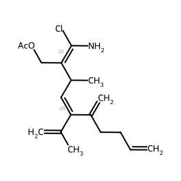 C=CCCC(=C)/C(=C\C(C)/C(COC(C)=O)=C(\N)Cl)C(=C)C